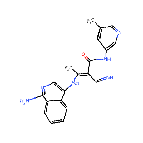 N=C/C(C(=O)Nc1cncc(C(F)(F)F)c1)=C(\Nc1cnc(N)c2ccccc12)C(F)(F)F